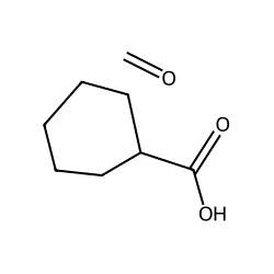 C=O.O=C(O)C1CCCCC1